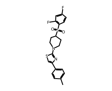 Cc1ccc(-c2csc(N3CCC(S(=O)(=O)c4ccc(F)cc4F)CC3)n2)cc1